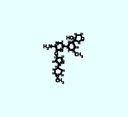 Cc1cc(-c2cnc(N)c(Oc3cnn(C4CCN(C)CC4)c3)n2)cc([C@@]2(O)CCOC2)c1